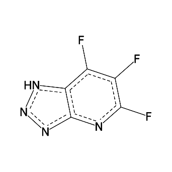 Fc1nc2nn[nH]c2c(F)c1F